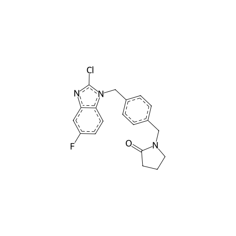 O=C1CCCN1Cc1ccc(Cn2c(Cl)nc3cc(F)ccc32)cc1